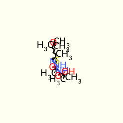 COC(C)(C)CCCC(C)c1cnc(NC(=O)[C@H](C)NC(=O)[C@@H](O)C(C)C)s1